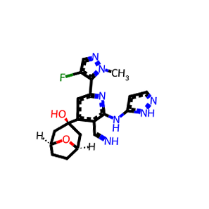 Cn1ncc(F)c1-c1cc([C@]2(O)C[C@H]3CC[C@@H](C2)O3)c(C=N)c(Nc2ccn[nH]2)n1